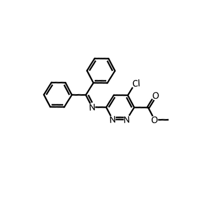 COC(=O)c1nnc(N=C(c2ccccc2)c2ccccc2)cc1Cl